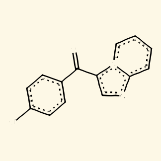 O=C(c1ccc(Cl)cc1)c1cnc2ccccn12